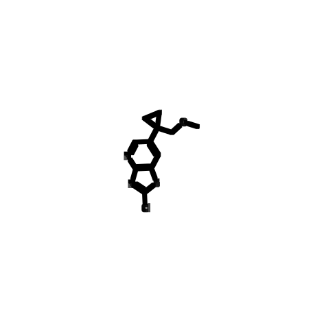 COCC1(c2cnc3nc(Cl)sc3c2)CC1